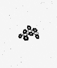 c1ccc(N2c3ccccc3B3c4ccc5c(c4Oc4cccc2c43)N(c2ccccc2)c2cccc3c2B5c2ccccc2O3)cc1